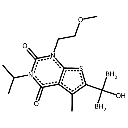 BC(B)(O)c1sc2c(c1C)c(=O)n(C(C)C)c(=O)n2CCOC